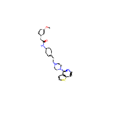 CO[C@H]1CC[C@H](CC(=O)NC2CCC(CCN3CCN(c4nccc5sccc45)CC3)CC2)C1